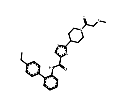 CCc1ccc(-c2ccccc2NC(=O)c2csc(C3CCN(C(=O)CSC)CC3)n2)cc1